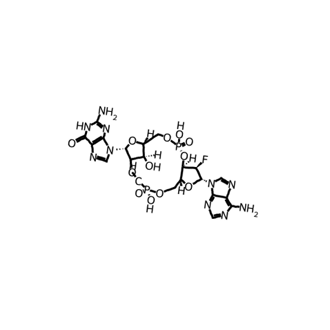 Nc1nc2c(ncn2[C@@H]2O[C@@H]3COP(=O)(O)O[C@H]4[C@@H](F)[C@H](n5cnc6c(N)ncnc65)O[C@@H]4COP(=O)(O)CO[C@@H]2[C@@H]3O)c(=O)[nH]1